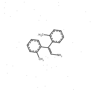 Cc1ccccc1C(=CN)c1ccccc1C